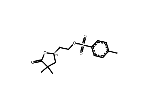 Cc1ccc(S(=O)(=O)OCC[C@H]2CC(C)(C)C(=O)O2)cc1